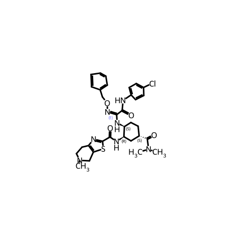 CN1CCc2nc(C(=O)N[C@@H]3C[C@@H](C(=O)N(C)C)CC[C@@H]3N/C(=N/OCc3ccccc3)C(=O)Nc3ccc(Cl)cc3)sc2C1